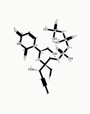 CC#C[C@H](O)[C@@](CF)(COP(=O)(O)OP(=O)(O)OP(=O)(O)O)O[C@H](CO)n1ccc(=O)[nH]c1=O